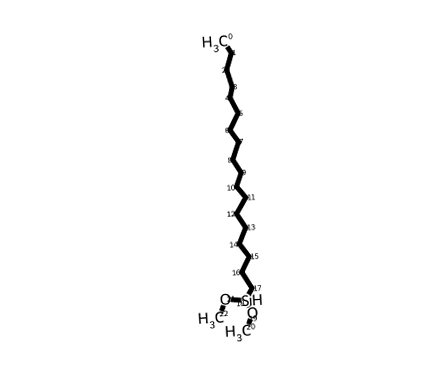 CCCCCCCCCCCCCCCCCC[SiH](OC)OC